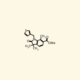 COC(=O)c1ccc2c(c1C)N(Cc1ccsc1)C(=O)C2(C)C